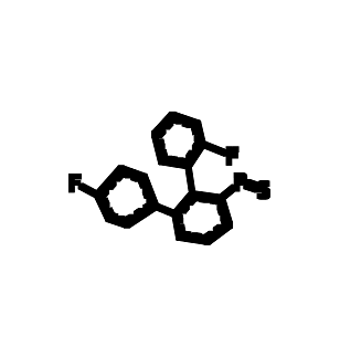 Fc1ccc(-c2cccc(P=S)c2-c2ccccc2F)cc1